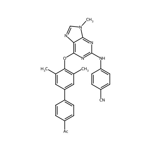 CC(=O)c1ccc(-c2cc(C)c(Oc3nc(Nc4ccc(C#N)cc4)nc4c3ncn4C)c(C)c2)cc1